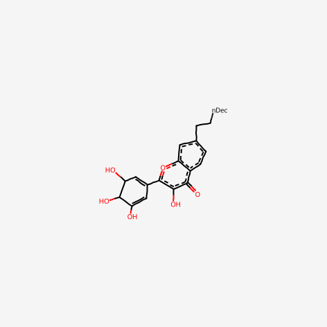 CCCCCCCCCCCCc1ccc2c(=O)c(O)c(C3=CC(O)C(O)C(O)=C3)oc2c1